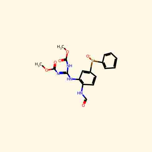 COC(=O)/N=C(\NC(=O)OC)Nc1cc([S+]([O-])c2ccccc2)ccc1NC=O